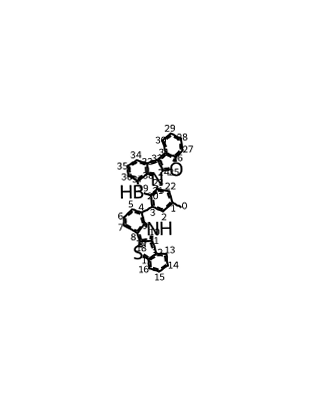 Cc1cc(-c2cccc3c2[nH]c2c4ccccc4sc32)c2c(c1)-n1c3oc4ccccc4c3c3cccc(c31)B2